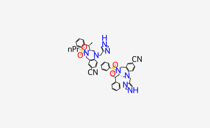 CCCS(=O)(=O)N1Cc2cc(C#N)ccc2N(Cc2c[nH]cn2)C[C@@H]1[C@H](C)c1ccccc1.C[C@H](c1ccccc1)[C@H]1CN(Cc2c[nH]cn2)c2ccc(C#N)cc2CN1S(=O)(=O)c1ccccc1